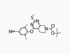 CSc1nc2c(c(Oc3c(C)cc(C#N)cc3C)n1)CCN(C(=O)OC(C)(C)C)C2